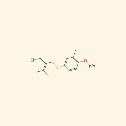 CCCOc1ccc(SCC(CCl)=C(C)C)cc1C